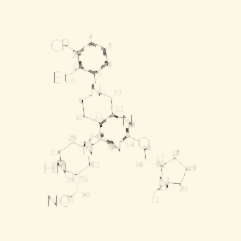 CCc1c(Cl)cccc1N1CCc2c(nc(OC[C@@H]3CCCN3C)nc2N2CCN[C@@H](CC#N)C2)C1